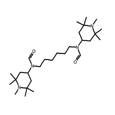 CN1C(C)(C)CC(N(C=O)CCCCCCN(C=O)C2CC(C)(C)N(C)C(C)(C)C2)CC1(C)C